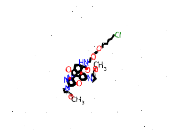 COC[C@H]1CCN1c1ccc2c(c1)Oc1cc(N3CC[C@@H]3COC)ccc1C21C(=[N+]=[N-])C(=O)c2ccc(C(=O)NCCOCCOCCCCCCCl)cc21